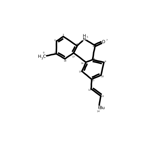 Cc1ccc2[nH]c(=O)c3ccc(/C=C/C(C)(C)C)cc3c2c1